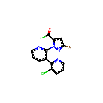 O=C(Cl)c1cc(Br)nn1-c1ncccc1-c1ncccc1Cl